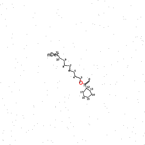 C=C(OCCCCCCCCCCCCCCCCCC)C1CCCCC1